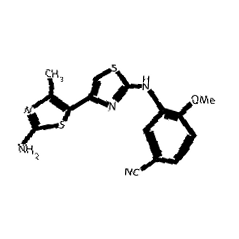 COc1ccc(C#N)cc1Nc1nc(-c2sc(N)nc2C)cs1